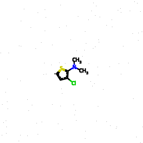 CN(C)c1s[c]cc1Cl